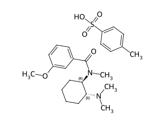 COc1cccc(C(=O)N(C)[C@@H]2CCCC[C@H]2N(C)C)c1.Cc1ccc(S(=O)(=O)O)cc1